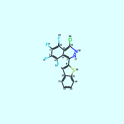 Fc1c(F)c(F)c2c(-c3cc4ccccc4s3)nnc(Cl)c2c1F